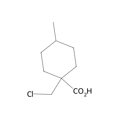 CC1CCC(CCl)(C(=O)O)CC1